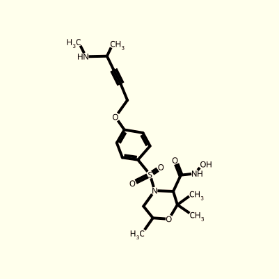 CNC(C)C#CCOc1ccc(S(=O)(=O)N2CC(C)OC(C)(C)C2C(=O)NO)cc1